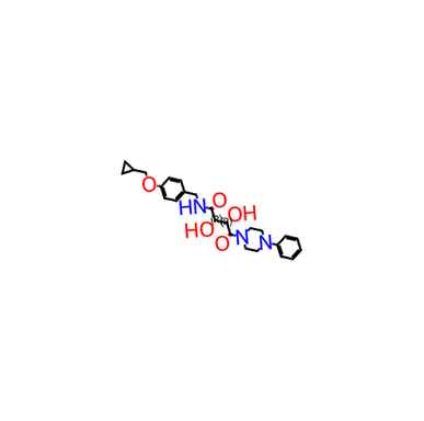 O=C(NCc1ccc(OCC2CC2)cc1)[C@H](O)[C@@H](O)C(=O)N1CCN(c2ccccc2)CC1